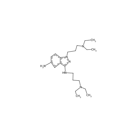 CCN(CC)CCCNc1nn(CCCN(CC)CC)c2ccc(N)cc12